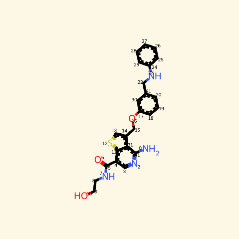 Nc1ncc(C(=O)NCCO)c2scc(COc3cccc(CNc4ccccc4)c3)c12